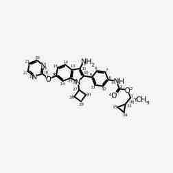 C[C@@H](OC(=O)Nc1ccc(-c2c(N)c3ccc(Oc4ncccn4)cc3n2C2CCC2)cc1)C1CC1